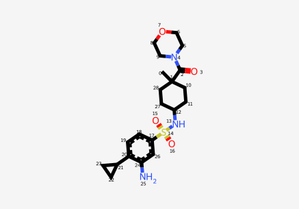 CC1(C(=O)N2CCOCC2)CCC(NS(=O)(=O)c2ccc(C3CC3)c(N)c2)CC1